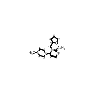 CN1CCN(C2C=CN=C([AsH2])N2CC2CCCO2)CC1